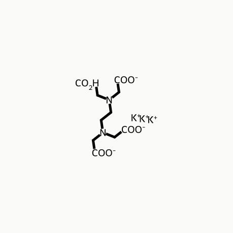 O=C([O-])CN(CCN(CC(=O)[O-])CC(=O)O)CC(=O)[O-].[K+].[K+].[K+]